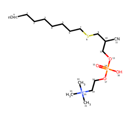 CCCCCCCCCCCCCCCCCSCC(C#N)COP(=O)(O)OCC[N+](C)(C)C